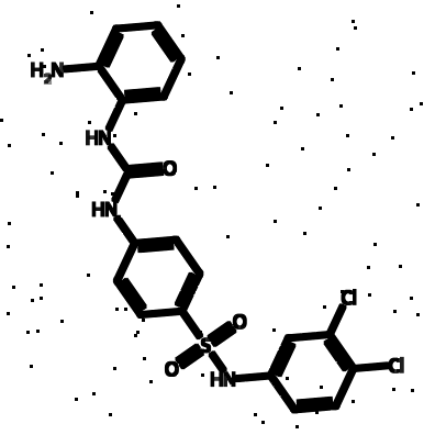 Nc1ccccc1NC(=O)Nc1ccc(S(=O)(=O)Nc2ccc(Cl)c(Cl)c2)cc1